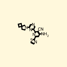 N#Cc1c(N)cc(-c2nccs2)nc1-c1cncc(N2CCC3(CCC3)C2)n1